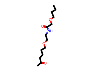 CCCCOCC(=O)NCCOCCCCC(C)=O